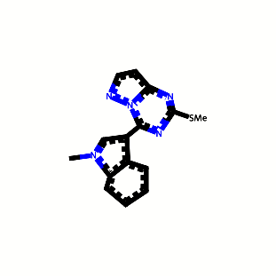 CSc1nc(-c2cn(C)c3ccccc23)n2nccc2n1